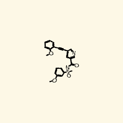 COc1cccc(S(C)(=O)=NC(=O)c2cncc(C#Cc3ccccc3OC)c2)c1